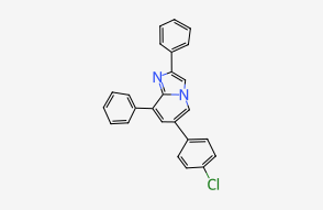 Clc1ccc(-c2cc(-c3ccccc3)c3nc(-c4ccccc4)cn3c2)cc1